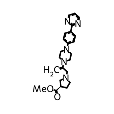 C=C(CN1CC[C@@H](C(=O)OC)C1)N1CCN(c2ccc(-c3ncccn3)cc2)CC1